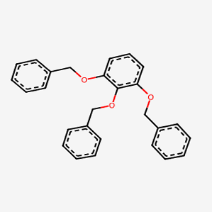 c1ccc(COc2cccc(OCc3ccccc3)c2OCc2ccccc2)cc1